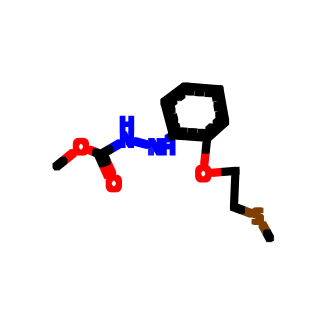 COC(=O)NNc1ccccc1OCCSC